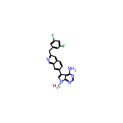 Cn1cc(-c2ccc3cc(Cc4cc(F)cc(F)c4)ncc3c2)c2c(N)ncnc21